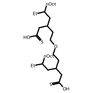 CCCCCCCCC(CC)CC(CCOCCC(CC(O)=S)CC(CC)CCCCCCCC)CC(O)=S